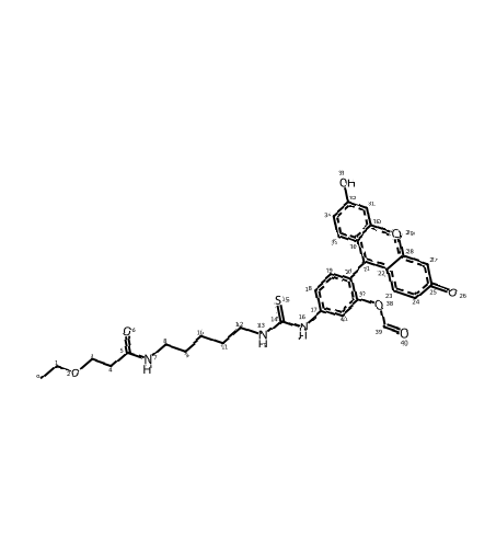 CCOCCC(=O)NCCCCCNC(=S)Nc1ccc(-c2c3ccc(=O)cc-3oc3cc(O)ccc23)c(OC=O)c1